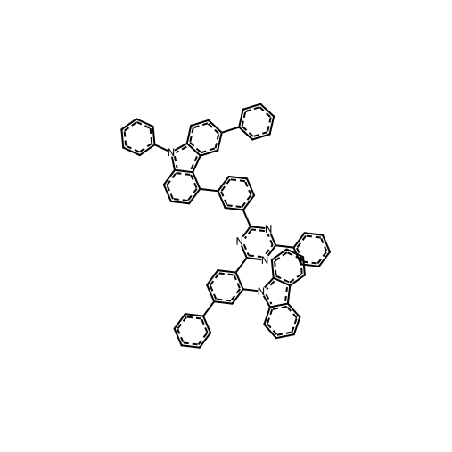 c1ccc(-c2ccc(-c3nc(-c4ccccc4)nc(-c4cccc(-c5cccc6c5c5cc(-c7ccccc7)ccc5n6-c5ccccc5)c4)n3)c(-n3c4ccccc4c4ccccc43)c2)cc1